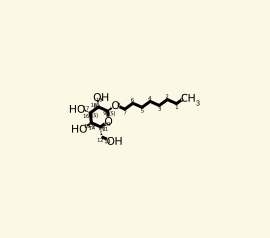 CCCCCCCCO[C@H]1O[C@H](CO)[C@@H](O)[C@H](O)[C@@H]1O